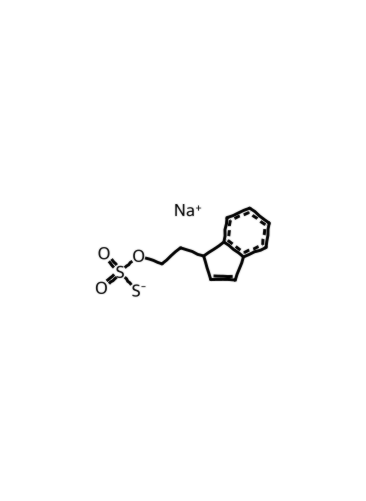 O=S(=O)([S-])OCCC1C=Cc2ccccc21.[Na+]